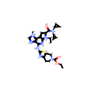 CCOC(=O)N1CCc2nc(Nc3nc4c(cc(C(=O)N(C5CC5)C5CC5)n4CC)c4c3ncn4C)sc2C1